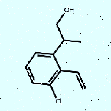 C=Cc1c(Cl)cccc1[C](C)CO